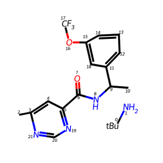 CC(C)(C)N.Cc1cc(C(=O)NC(C)c2cccc(OC(F)(F)F)c2)ncn1